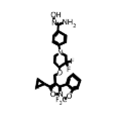 N/C(=N\O)c1ccc(N2CCC(OCc3c(-c4ccccc4OC(F)(F)F)noc3C3CC3)C(F)(F)C2)cc1